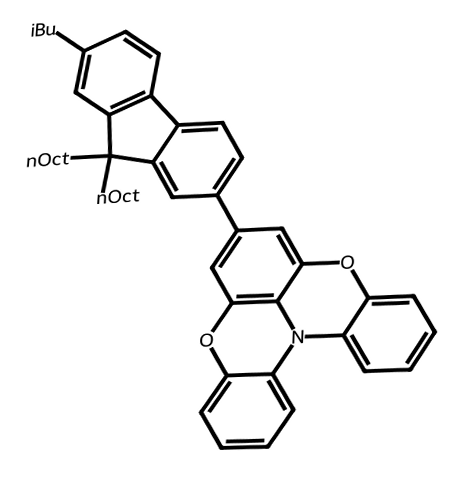 CCCCCCCCC1(CCCCCCCC)c2cc(-c3cc4c5c(c3)Oc3ccccc3N5c3ccccc3O4)ccc2-c2ccc(C(C)CC)cc21